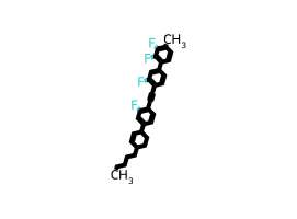 CCCCCC1C=CC(c2ccc(C#Cc3ccc(-c4ccc(C)c(F)c4F)cc3F)c(F)c2)CC1